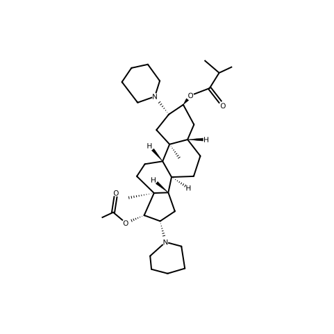 CC(=O)O[C@H]1[C@@H](N2CCCCC2)C[C@H]2[C@@H]3CC[C@H]4C[C@H](OC(=O)C(C)C)[C@@H](N5CCCCC5)C[C@]4(C)[C@H]3CC[C@@]21C